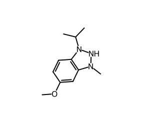 COc1ccc2c(c1)N(C)NN2C(C)C